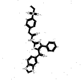 CCS(=O)(=O)c1ccc(CC(=O)Nc2nc(-c3ccccc3)c(C(=O)c3ccc4c(c3)OCO4)s2)cc1